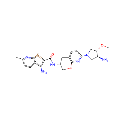 CO[C@H]1CN(c2ccc3c(n2)OC[C@H](NC(=O)c2sc4nc(C)ccc4c2N)C3)C[C@@H]1N